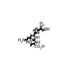 CC(O)[C@H](NC(=O)N[C@@H](CCCCN)c1nc([C@@H](N)CO)no1)C(=O)O